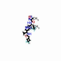 Cc1nonc1C(=O)N[C@@H](CC(C)(C)C(F)(F)F)c1cn2ncc([C@H](NC(=O)CC3CC(F)(F)C3)C3CC3)cc2n1